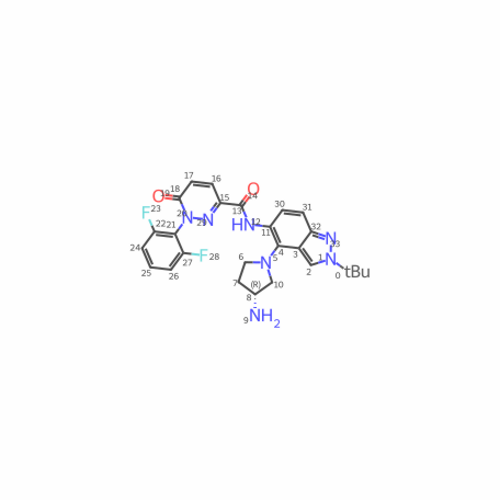 CC(C)(C)n1cc2c(N3CC[C@@H](N)C3)c(NC(=O)c3ccc(=O)n(-c4c(F)cccc4F)n3)ccc2n1